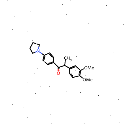 COc1ccc(C(C)C(=O)c2ccc(N3CCCC3)cc2)cc1OC